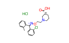 Cc1ccccc1/C(=N/OCCN1CCC[C@@H](C(=O)O)C1)c1ccccc1Cl.Cl